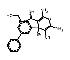 CC(=N)C1=C(N)OC(N)=C(C#N)C1(c1cc(CO)cc(-c2ccccc2)c1)C(C)C